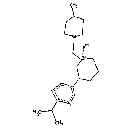 CC(C)c1ccc(N2CCC[C@](O)(CN3CCN(C)CC3)C2)cn1